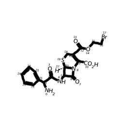 NC(C(=O)NC1C(=O)N2C(C(=O)O)=C(C(=O)OCCBr)CS[C@H]12)c1ccccc1